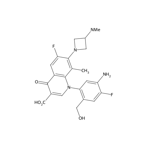 CNC1CN(c2c(F)cc3c(=O)c(C(=O)O)cn(-c4cc(N)c(F)cc4CO)c3c2C)C1